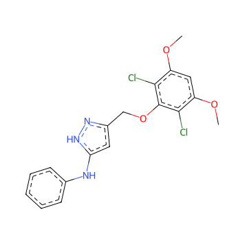 COc1cc(OC)c(Cl)c(OCc2cc(Nc3ccccc3)[nH]n2)c1Cl